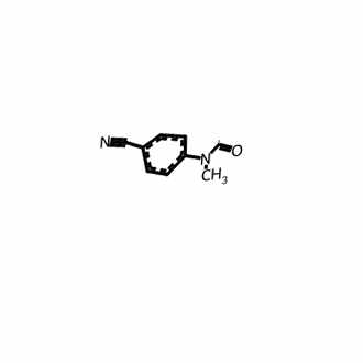 CN([C]=O)c1ccc(C#N)cc1